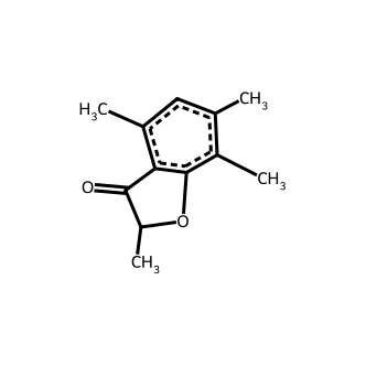 Cc1cc(C)c2c(c1C)OC(C)C2=O